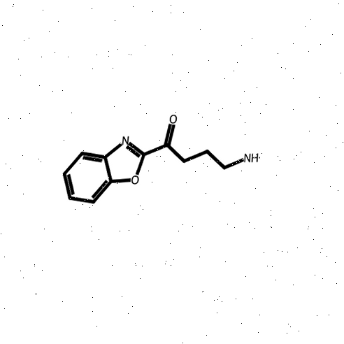 [NH]CCCC(=O)c1nc2ccccc2o1